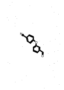 N#Cc1ccc(Oc2cccc(C=O)c2)cc1